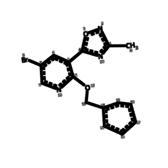 Cc1noc(-c2cc(Br)cnc2OCc2ccccc2)n1